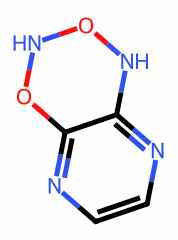 c1cnc2o[nH]o[nH]c2n1